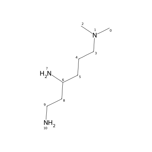 CN(C)CCCC(N)CCN